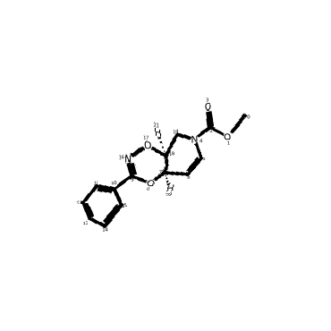 COC(=O)N1C=C[C@H]2OC(c3ccccc3)=NO[C@H]2C1